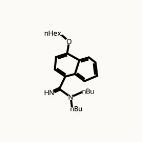 CCCCCCOc1ccc(C(=N)N(CCCC)CCCC)c2ccccc12